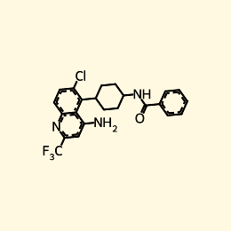 Nc1cc(C(F)(F)F)nc2ccc(Cl)c(C3CCC(NC(=O)c4ccccc4)CC3)c12